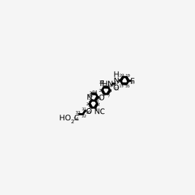 [C-]#[N+]c1cc2c(Oc3ccc(NC(=O)Nc4ccc(F)cc4)c(F)c3)ccnc2cc1OCCCC(=O)O